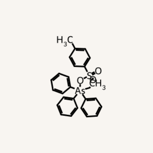 CC[As](OS(=O)(=O)c1ccc(C)cc1)(c1ccccc1)(c1ccccc1)c1ccccc1